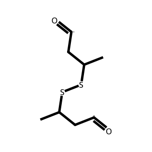 CC(C[C]=O)SSC(C)C[C]=O